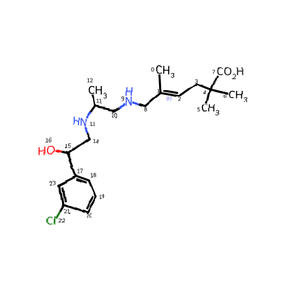 C/C(=C\CC(C)(C)C(=O)O)CNCC(C)NCC(O)c1cccc(Cl)c1